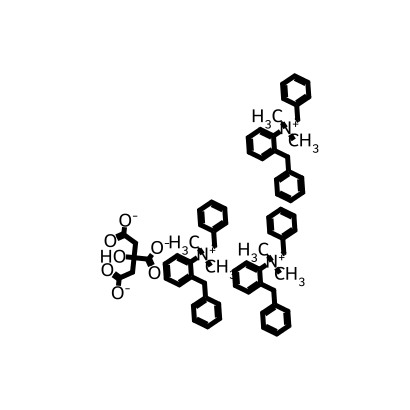 C[N+](C)(Cc1ccccc1)c1ccccc1Cc1ccccc1.C[N+](C)(Cc1ccccc1)c1ccccc1Cc1ccccc1.C[N+](C)(Cc1ccccc1)c1ccccc1Cc1ccccc1.O=C([O-])CC(O)(CC(=O)[O-])C(=O)[O-]